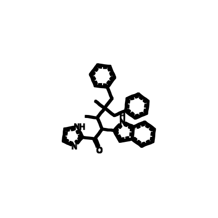 C[C](C(C(=O)c1ncc[nH]1)c1cc2ccccc2[nH]1)C(C)(Cc1ccccc1)Cc1ccccc1